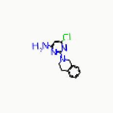 Nc1cc(Cl)nc(N2CCc3ccccc3C2)n1